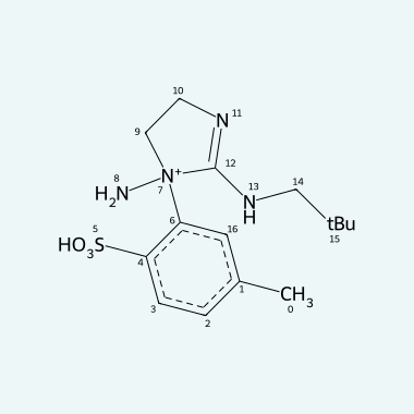 Cc1ccc(S(=O)(=O)O)c([N+]2(N)CCN=C2NCC(C)(C)C)c1